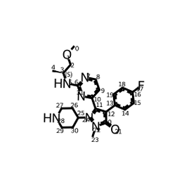 COC[C@H](C)Nc1nccc(-c2c(-c3ccc(F)cc3)c(=O)n(C)n2C2CCNCC2)n1